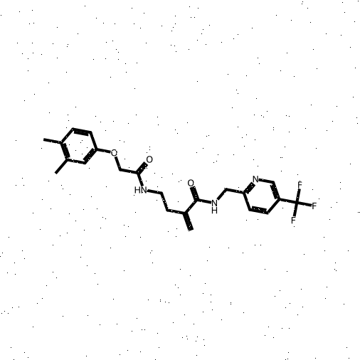 C=C(CCNC(=O)COc1ccc(C)c(C)c1)C(=O)NCc1ccc(C(F)(F)F)cn1